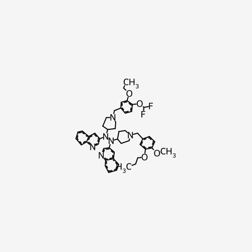 CCCOc1cc(CN2CCC(N(c3cnc4ccccc4c3)N(c3cnc4ccccc4c3)C3CCN(Cc4ccc(OC(F)F)c(OCC)c4)CC3)CC2)ccc1OC